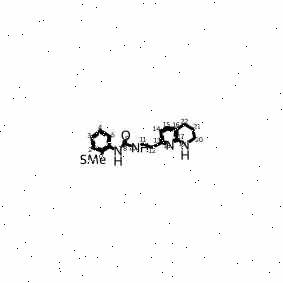 CSc1ccccc1NC(=O)NCCc1ccc2c(n1)NCCC2